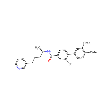 CCc1cc(C(=O)N[C@H](C)CCCc2cccnc2)ccc1-c1ccc(OC)c(OC)c1